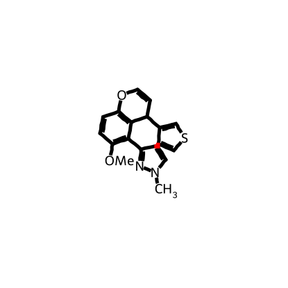 COc1ccc2c(c1-c1ccn(C)n1)C(c1ccsc1)C=CO2